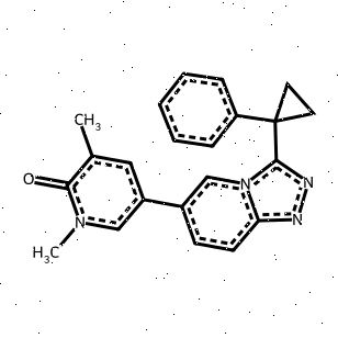 Cc1cc(-c2ccc3nnc(C4(c5ccccc5)CC4)n3c2)cn(C)c1=O